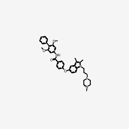 COc1cc(NC(=O)c2ccc(Oc3ccc4c(c3)c(C)c(C)n4CCCN3CCN(C)CC3)cc2)cc(OC)c1-c1ccccc1